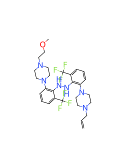 C=CCN1CCN(c2cccc(C(F)(F)F)c2NNc2c(N3CCN(CCOC)CC3)cccc2C(F)(F)F)CC1